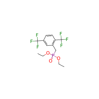 CCOP(=O)(Cc1cc(C(F)(F)F)ccc1C(F)(F)F)OCC